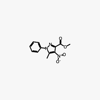 COC(=O)c1nn(-c2ccccc2)c(C)c1[N+](=O)[O-]